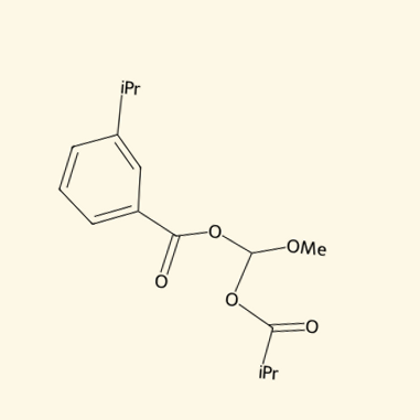 COC(OC(=O)c1cccc(C(C)C)c1)OC(=O)C(C)C